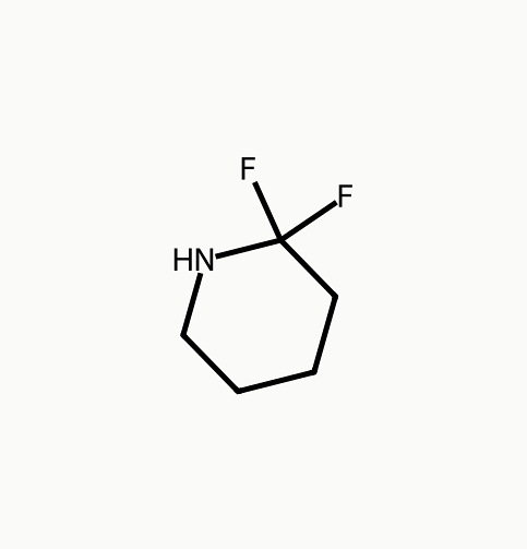 FC1(F)CCCCN1